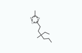 CCCC(C)(CC)CCc1nc(C)no1